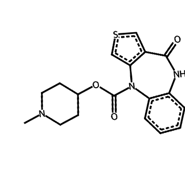 CN1CCC(OC(=O)N2c3ccccc3NC(=O)c3cscc32)CC1